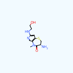 CN1C(=O)[C@@H](N)CSc2cc(NCCO)ncc21